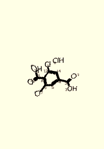 Cl.O=C(O)c1cc(Cl)c(C(=O)O)c(Cl)c1